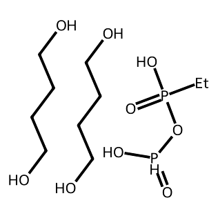 CCP(=O)(O)O[PH](=O)O.OCCCCO.OCCCCO